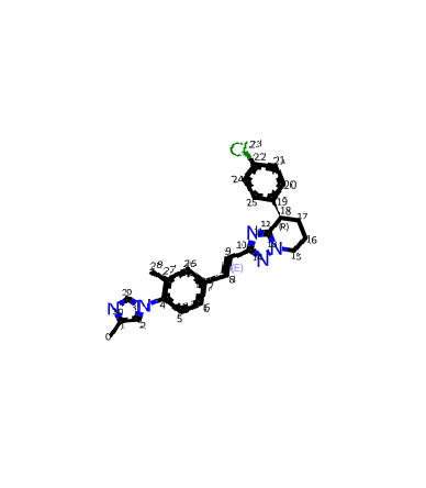 Cc1cn(-c2ccc(/C=C/c3nc4n(n3)CCC[C@@H]4c3ccc(Cl)cc3)cc2C)cn1